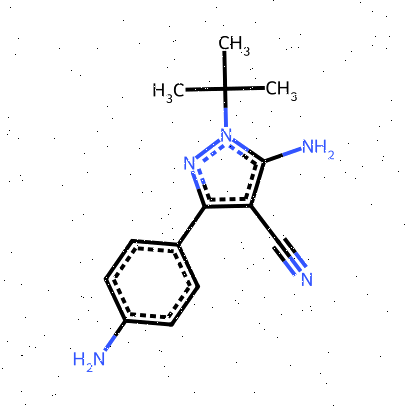 CC(C)(C)n1nc(-c2ccc(N)cc2)c(C#N)c1N